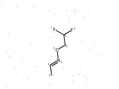 [CH2]C=NOCC(F)F